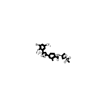 Cc1cc(C2=NO[C@](c3cc(C(F)(F)F)cc(Br)c3F)(C(F)(F)F)C2)ccc1C(=O)N[C@H]1CON(S(C)(=O)=O)C1